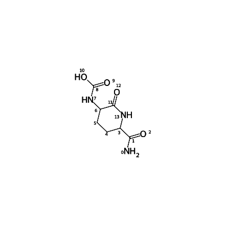 NC(=O)C1CCC(NC(=O)O)C(=O)N1